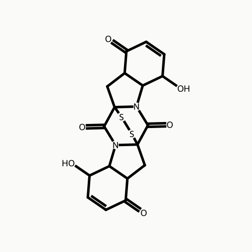 O=C1C=CC(O)C2C1CC13SSC4(CC5C(=O)C=CC(O)C5N4C1=O)C(=O)N23